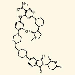 CN1CCN([C@@H]2CCCN(c3nnc(C(N)=O)c(Nc4ccc(N5CCN(CC6CCN(c7ccc8c(c7)C(=O)N(C7CCC(=O)NC7=O)C8=O)CC6)CC5)c(Cl)c4)n3)C2)C1=O